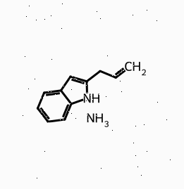 C=CCc1cc2ccccc2[nH]1.N